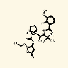 CCO[C@@H]1OC(=O)CC1NC(=O)[C@@H]1[C@H]2CCC(C2)N1C(=O)[C@@H](NC(=O)c1cccc(OC)c1F)C(C)(C)C